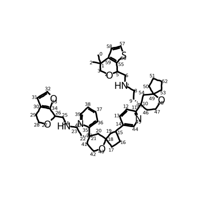 CC1(C)COC(CNCC[C@@]2(c3ccc(C4CCC5(C4)C[C@](CCNCC4OCCc6ccoc64)(c4ccccn4)CCO5)cn3)CCOC3(CCCC3)C2)c2sccc21